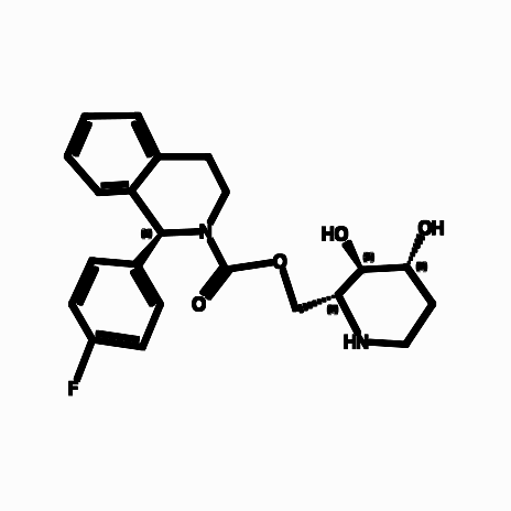 O=C(OC[C@H]1NCC[C@@H](O)[C@@H]1O)N1CCc2ccccc2[C@@H]1c1ccc(F)cc1